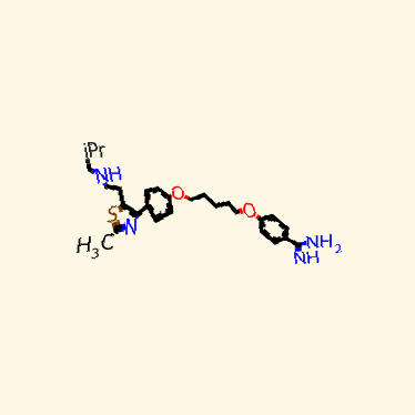 Cc1nc(-c2ccc(OCCCCCOc3ccc(C(=N)N)cc3)cc2)c(CCNCC(C)C)s1